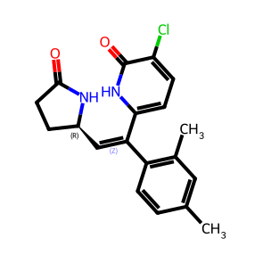 Cc1ccc(/C(=C/[C@H]2CCC(=O)N2)c2ccc(Cl)c(=O)[nH]2)c(C)c1